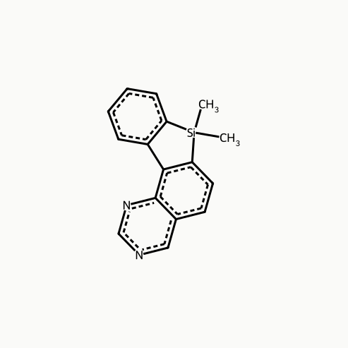 C[Si]1(C)c2ccccc2-c2c1ccc1cncnc21